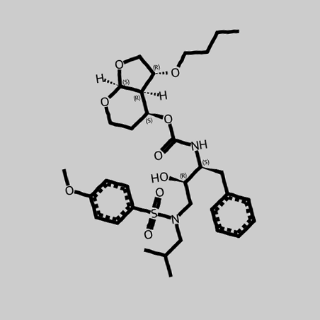 CCCCO[C@H]1CO[C@@H]2OCC[C@H](OC(=O)N[C@@H](Cc3ccccc3)[C@H](O)CN(CC(C)C)S(=O)(=O)c3ccc(OC)cc3)[C@@H]21